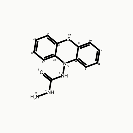 NNC(=O)NN1c2ccccc2Sc2ccccc21